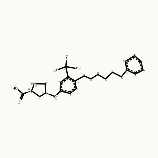 O=C(O)[C@@H]1C[C@H](Oc2ccc(CCCCCCc3ccccc3)c(C(F)(F)F)c2)CN1